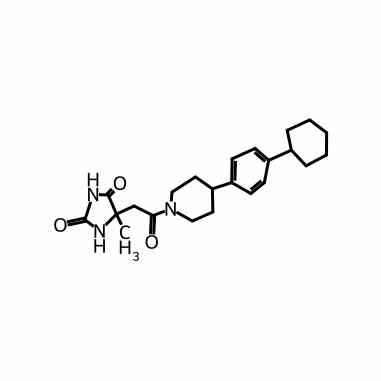 CC1(CC(=O)N2CCC(c3ccc(C4CCCCC4)cc3)CC2)NC(=O)NC1=O